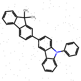 CC1(C)c2ccccc2-c2ccc(-c3ccc4c(c3)c3ccccc3n4-c3ccccc3)cc21